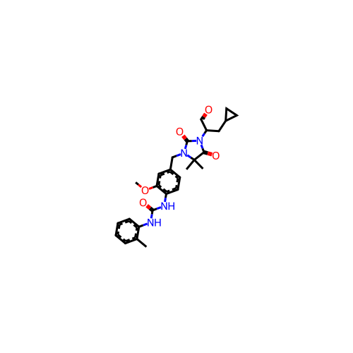 COc1cc(CN2C(=O)N(C(C=O)CC3CC3)C(=O)C2(C)C)ccc1NC(=O)Nc1ccccc1C